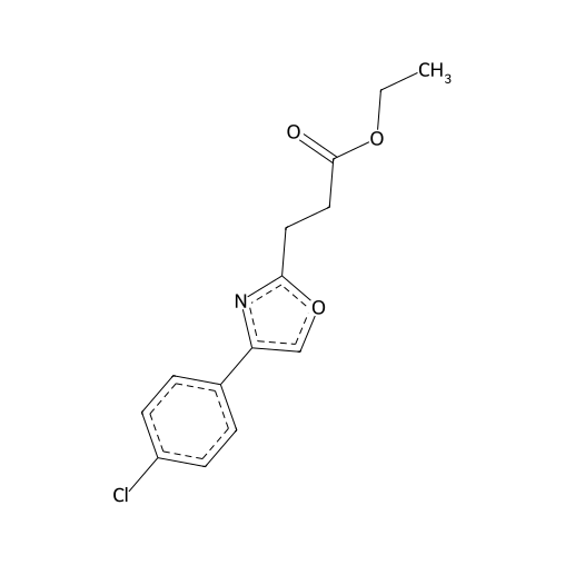 CCOC(=O)CCc1nc(-c2ccc(Cl)cc2)co1